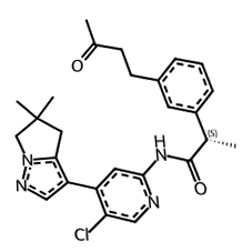 CC(=O)CCc1cccc([C@H](C)C(=O)Nc2cc(-c3cnn4c3CC(C)(C)C4)c(Cl)cn2)c1